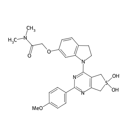 COc1ccc(-c2nc3c(c(N4CCc5ccc(OCC(=O)N(C)C)cc54)n2)CS(O)(O)C3)cc1